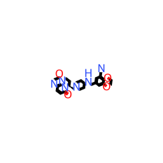 N#Cc1cc(CNC2CCN(C[C@@H]3CCn4c(=O)cnc5ccc(=O)n3c54)CC2)cc2c1OCCO2